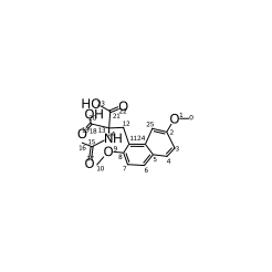 COc1ccc2ccc(OC)c(CC(NC(C)=O)(C(=O)O)C(=O)O)c2c1